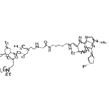 CCC(=N)/C(=C\NCCCCCNC(=O)CNCCN(C)CC(=O)ON(OC(=O)CN(C)CC)C1CN(CC)CC(=O)O1)Nc1nc(N2CC[C@H](F)C2)nc2c1ncn2C(C)(C)C